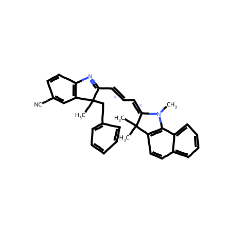 CN1/C(=C/C=C/C2=Nc3ccc(C#N)cc3C2(C)Cc2ccccc2)C(C)(C)c2ccc3ccccc3c21